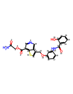 NC(=O)COC(=O)c1cncc2c(COc3cccc(NC(=O)c4ccccc4O)c3)csc12